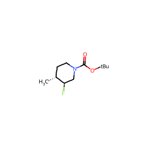 C[C@@H]1CCN(C(=O)OC(C)(C)C)C[C@H]1F